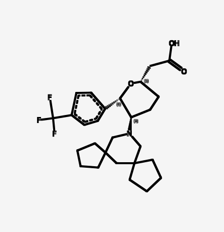 O=C(O)C[C@@H]1CC[C@@H](N2CC3(CCCC3)CC3(CCCC3)C2)[C@H](c2ccc(C(F)(F)F)cc2)O1